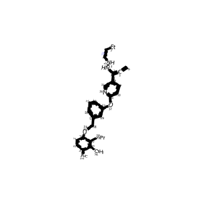 C=C=C(NN/C=C\CC)c1ccc(Oc2cccc(COc3ccc(C(C)=O)c(O)c3CCC)c2)nc1